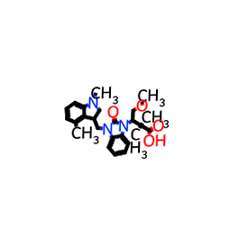 COCC(n1c(=O)n(CC2CN(C)c3cccc(C)c32)c2ccccc21)C(C)(C)C(=O)O